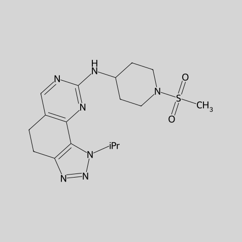 CC(C)n1nnc2c1-c1nc(NC3CCN(S(C)(=O)=O)CC3)ncc1CC2